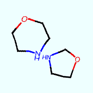 C1COCCN1.C1COCN1